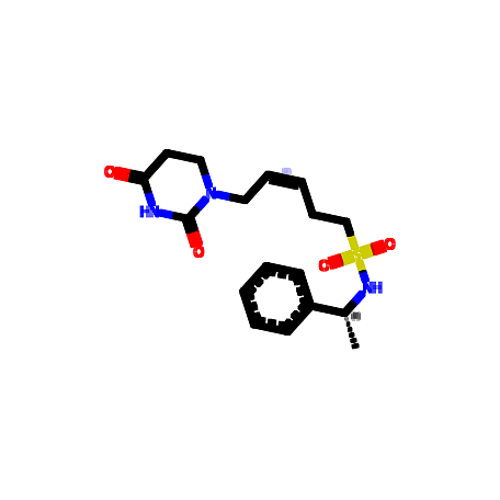 C[C@@H](NS(=O)(=O)CC/C=C\CN1CCC(=O)NC1=O)c1ccccc1